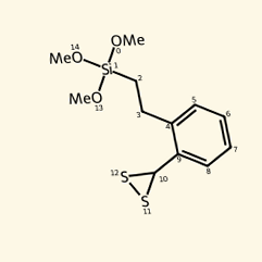 CO[Si](CCc1ccccc1C1SS1)(OC)OC